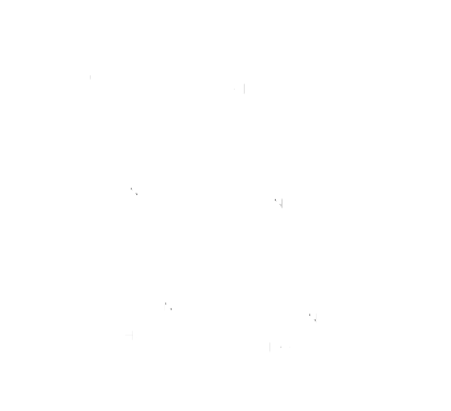 ON=C1CCN(Cc2ccccc2Cl)CC1.ON=C1CCN(Cc2ccccc2Cl)CC1